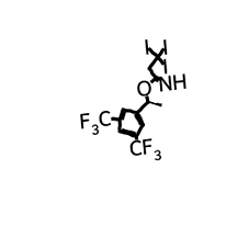 C[C@H](OC(=N)CC(I)(I)I)c1cc(C(F)(F)F)cc(C(F)(F)F)c1